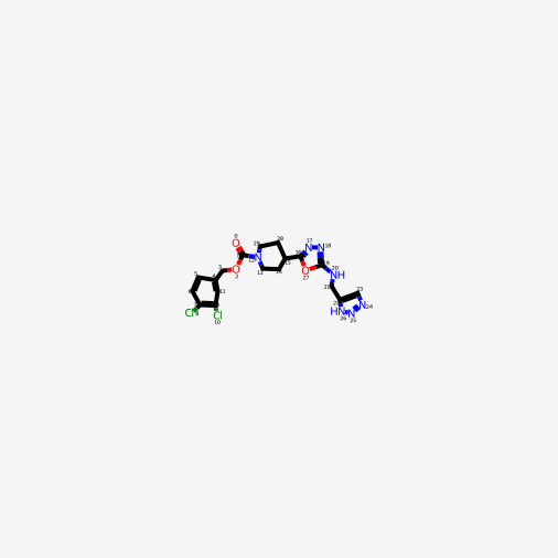 O=C(OCc1ccc(Cl)c(Cl)c1)N1CCC(c2nnc(NCc3cnn[nH]3)o2)CC1